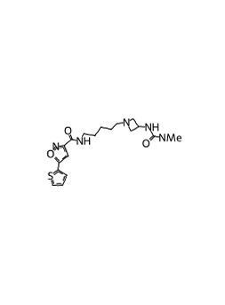 CNC(=O)NC1CN(CCCCCNC(=O)c2cc(-c3cccs3)on2)C1